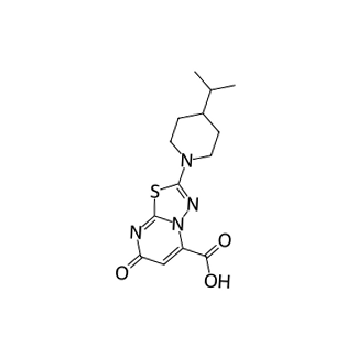 CC(C)C1CCN(c2nn3c(C(=O)O)cc(=O)nc3s2)CC1